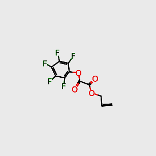 C=CCOC(=O)C(=O)Oc1c(F)c(F)c(F)c(F)c1F